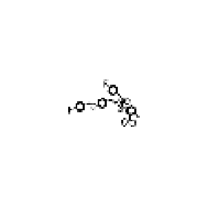 COC(=O)c1cc(S(=O)(=O)N(CCc2ccc(OCc3ccc(F)cc3)cc2)Cc2ccc(F)cc2)ccc1C